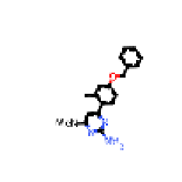 CNc1cc(-c2ccc(OCc3ccccc3)cc2C)nc(N)n1